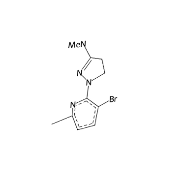 CNC1=NN(c2nc(C)ccc2Br)CC1